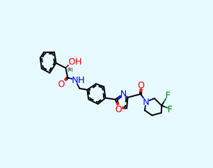 O=C(NCc1ccc(-c2nc(C(=O)N3CCCC(F)(F)C3)co2)cc1)[C@H](O)c1ccccc1